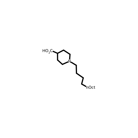 CCCCCCCCCCCCN1CCC(C(=O)O)CC1